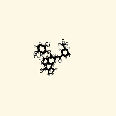 Nc1nn2c(=O)c3c(c4cc(NC(=O)c5cc(F)cc(C(F)(F)F)c5)c(Oc5cc(F)ccc5Cl)c1c42)CCC3